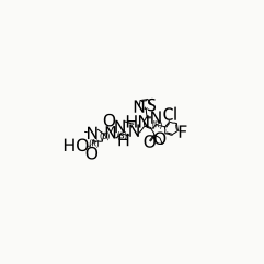 COC(=O)C1=C(CN2CCN3C(=O)N([C@H]4C[C@H](C(=O)O)N(C)C4)C[C@@H]3C2)NC(c2nccs2)=N[C@H]1c1ccc(F)cc1Cl